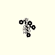 CC(C)N(C(=O)CN1C(=O)C(NC(=O)Nc2ccccc2)N=C(c2ccccc2)c2ccccc21)c1ccccc1